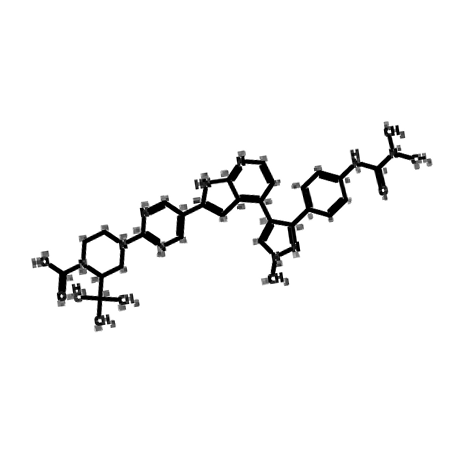 CN(C)C(=O)Nc1ccc(-c2nn(C)cc2-c2ccnc3[nH]c(-c4cnc(N5CCN(C(=O)O)C(C(C)(C)C)C5)nc4)cc23)cc1